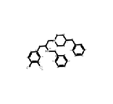 Clc1ccc(CC(CN2CCC(Cc3ccccc3)CC2)NCc2ccccc2)cc1Cl